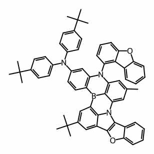 Cc1cc2c3c(c1)-n1c4c(cc(C(C)(C)C)cc4c4oc5ccccc5c41)B3c1ccc(N(c3ccc(C(C)(C)C)cc3)c3ccc(C(C)(C)C)cc3)cc1N2c1cccc2oc3ccccc3c12